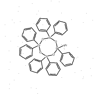 [CH2]CC[Si]1(c2ccccc2)O[Si](c2ccccc2)(c2ccccc2)O[Si](c2ccccc2)(c2ccccc2)O[Si](c2ccccc2)(c2ccccc2)O1